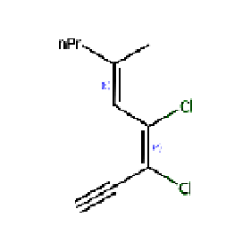 C#C/C(Cl)=C(Cl)\C=C(/C)CCC